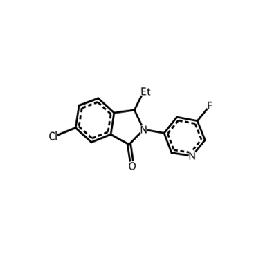 CCC1c2ccc(Cl)cc2C(=O)N1c1cncc(F)c1